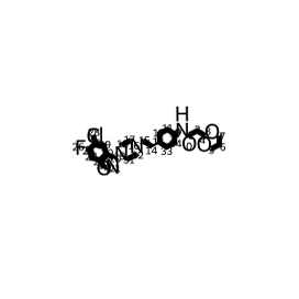 O=C(CC1OCCCO1)N[C@H]1CC[C@H](CCN2CCN(c3noc4cc(F)c(Cl)cc34)CC2)CC1